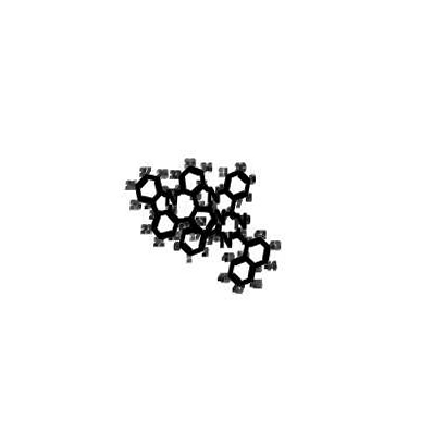 c1ccc(-c2nc(-c3ccccc3-n3c4cccc5c6cccc7c8ccccc8n(c8cccc3c8c54)c67)nc(-c3cccc4ccccc34)n2)cc1